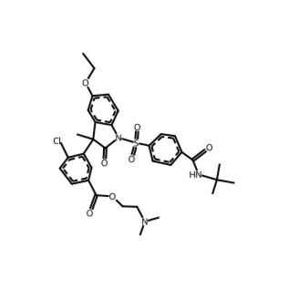 CCOc1ccc2c(c1)C(C)(c1cc(C(=O)OCCN(C)C)ccc1Cl)C(=O)N2S(=O)(=O)c1ccc(C(=O)NC(C)(C)C)cc1